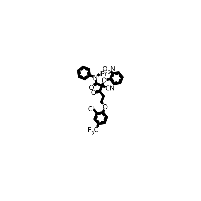 CC(C)N(C(=O)C(C#N)(Oc1ccccc1[N+](=O)[O-])C(=O)CCOc1ccc(C(F)(F)F)cc1Cl)c1ccccc1